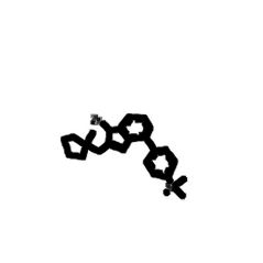 CC1(CC2=Cc3c(-c4ccc([Si](C)(C)C)cc4)cccc3[CH]2[Zr])CCCC1